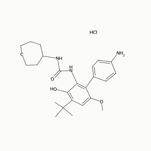 COc1cc(C(C)(C)C)c(O)c(NC(=O)NC2CCCCCC2)c1-c1ccc(N)cc1.Cl